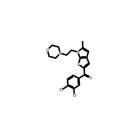 Cc1cc2cc(C(=O)c3ccc(Cl)c(Cl)c3)sc2n1CCN1CCOCC1